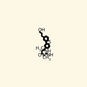 CN1C(=N)N[C@](C)(c2ccc3sc4ccc(CCCO)cc4c3c2)CC1=O